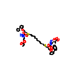 C=CC(=O)OCCNC(=O)OC(COc1ccccc1-c1ccccc1)CSCCCCCCCCCCSCC(COc1ccccc1-c1ccccc1)OC(=O)NCCC(=C)C(=O)O